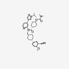 COc1ccc([C@H]2CC[C@H](CN(c3cc(-c4cnn(C(C)C)c4)ccn3)C(=O)[C@H]3CC[C@H](OC(=O)N(C)C)CC3)CC2)cc1C#N